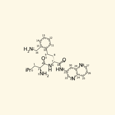 CC(C)C[C@H](N)C(=O)N[C@H](CCc1ccccc1CN)C(=O)Nc1cnc2cccnc2c1